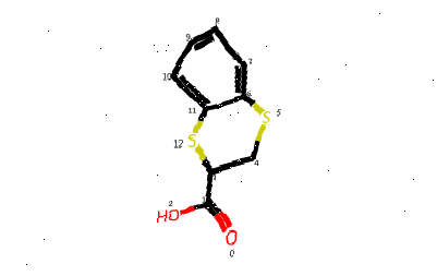 O=C(O)C1CSc2ccccc2S1